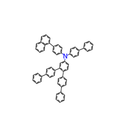 c1ccc(-c2ccc(-c3ccc(N(c4ccc(-c5ccccc5)cc4)c4ccc(-c5cccc6ccccc56)cc4)cc3-c3ccc(-c4ccccc4)cc3)cc2)cc1